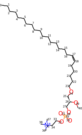 CCCCCCCCCCCCCCCCC/C=C\CCCCCOC[C@H](COP(=O)([O-])OCC[N+](C)(C)C)OC